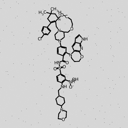 CC1(C)CC(c2ccc(Cl)cc2)=C2CN3CCN(c4ccc(C(=O)NS(=O)(=O)c5ccc(NCC6CCC(N7CCOCC7)CC6)c([NH+]([O-])O)c5)c(N5CCCOc6nc7[nH]ccc7cc65)c4)CC3COCCCO[C@@H]2C1